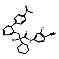 CC(=O)c1ccc(-c2ccccc2CC(O)(C(=O)Nc2ccc(C#N)c(Cl)c2)C2CCCCC2)cc1